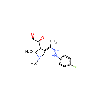 CC(NNc1ccc(F)cc1)=C1CN(C)C(C)C1C(=O)C=O